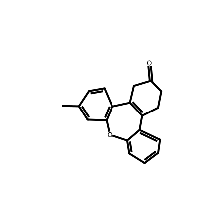 Cc1ccc2c(c1)Oc1ccccc1C1=C2CC(=O)CC1